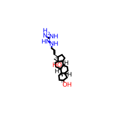 C[C@]12CC[C@H](O)C[C@H]1CC[C@@H]1[C@@H]2CC[C@]2(C)[C@@H](C=CCNNC(=N)N)CC[C@]12O